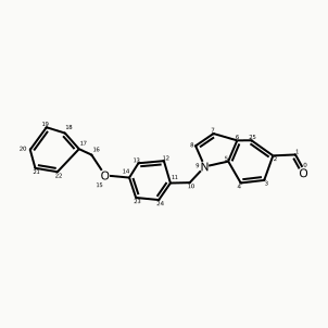 O=Cc1ccc2c(ccn2Cc2ccc(OCc3ccccc3)cc2)c1